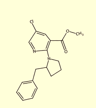 COC(=O)c1cc(Cl)cnc1N1CCCC1Cc1ccccc1